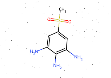 CS(=O)(=O)c1cc(N)c(N)c(N)c1